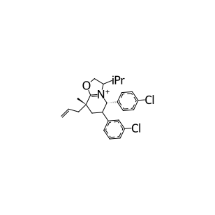 C=CC[C@@]1(C)CC(c2cccc(Cl)c2)[C@@H](c2ccc(Cl)cc2)[N+]2=C1OCC2C(C)C